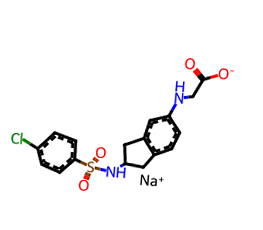 O=C([O-])CNc1ccc2c(c1)CC(NS(=O)(=O)c1ccc(Cl)cc1)C2.[Na+]